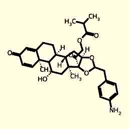 CC(C)C(=O)OCC(=O)[C@@]12OC(Cc3ccc(N)cc3)O[C@@H]1C[C@H]1[C@@H]3CCC4=CC(=O)C=C[C@]4(C)C3[C@@H](O)C[C@@]12C